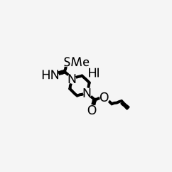 C=CCOC(=O)N1CCN(C(=N)SC)CC1.I